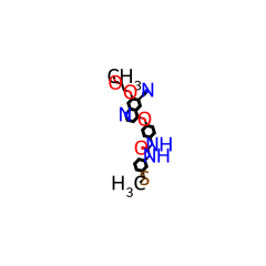 COCCOc1cc2nccc(Oc3ccc(NC(=O)Nc4cccc(SC)c4)cc3)c2cc1C#N